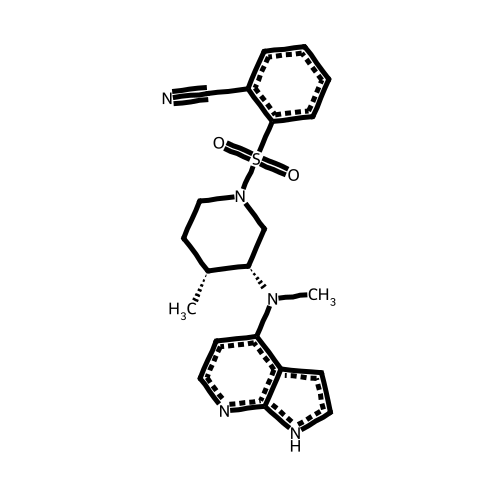 C[C@@H]1CCN(S(=O)(=O)c2ccccc2C#N)C[C@@H]1N(C)c1ccnc2[nH]ccc12